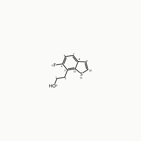 OCCc1c(F)ccc2ccsc12